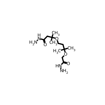 CC(C)(CCOC(C)(C)CC(=O)NN)OCC(=O)NN